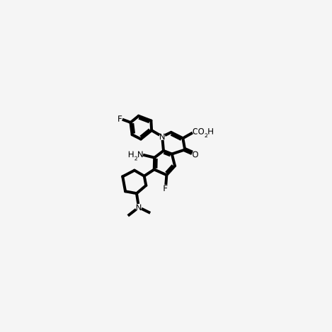 CN(C)C1CCCC(c2c(F)cc3c(=O)c(C(=O)O)cn(-c4ccc(F)cc4)c3c2N)C1